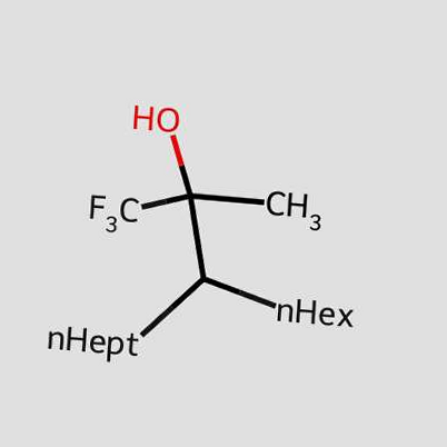 CCCCCCCC(CCCCCC)C(C)(O)C(F)(F)F